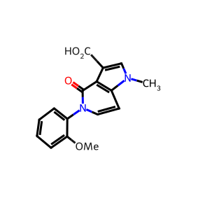 COc1ccccc1-n1ccc2c(c(C(=O)O)cn2C)c1=O